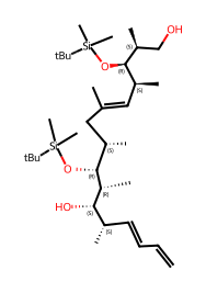 C=CC=C[C@H](C)[C@H](O)[C@@H](C)[C@H](O[Si](C)(C)C(C)(C)C)[C@@H](C)CC(C)=C[C@H](C)[C@@H](O[Si](C)(C)C(C)(C)C)[C@@H](C)CO